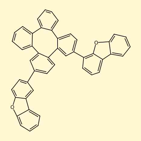 c1ccc2c(c1)-c1ccccc1-c1cc(-c3ccc4oc5ccccc5c4c3)ccc1-c1cc(-c3cccc4c3oc3ccccc34)ccc1-2